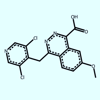 COc1ccc2c(Cc3c(Cl)cncc3Cl)nnc(C(=O)O)c2c1